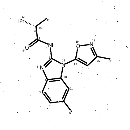 Cc1ccc2nc(NC(=O)[C@@H](C)C(C)C)n(-c3cc(C)no3)c2c1